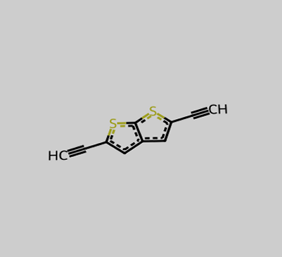 C#Cc1cc2cc(C#C)sc2s1